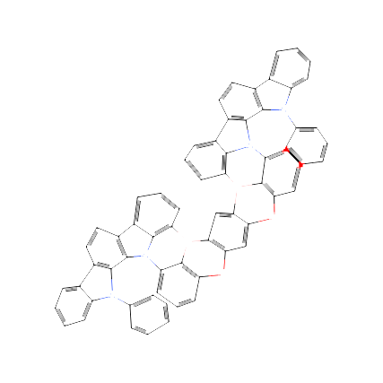 c1ccc(-n2c3ccccc3c3ccc4c5cccc6c5n(c4c32)-c2cccc3c2B6c2cc4c(cc2O3)Oc2cccc3c2B4c2cccc4c5ccc6c7ccccc7n(-c7ccccc7)c6c5n-3c24)cc1